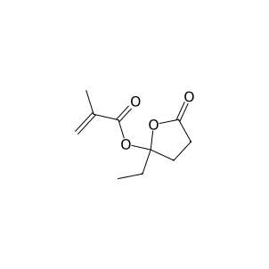 C=C(C)C(=O)OC1(CC)CCC(=O)O1